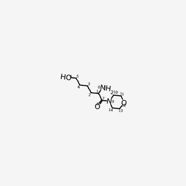 NC(CCCCO)C(=O)N1CCOCC1